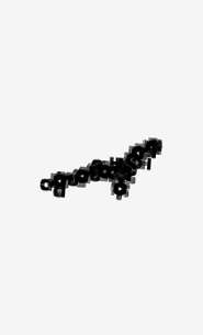 CC[C@@H](c1ccccc1)N1Cc2cc3c(cc2C[C@H]1C(=O)NC(Cc1ccc(-c2ccncn2)cc1)C(=O)O)OC[C@H](c1ccc(OCc2ccc(Cl)c(Cl)c2)cc1)O3